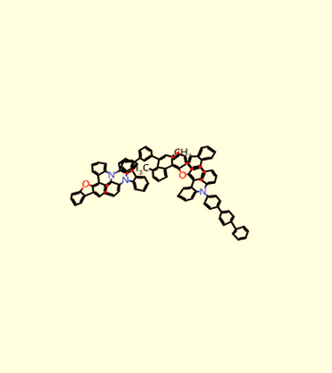 C=C/C=C(/c1cccc(-c2ccc(N(c3ccccc3-c3cccc4c3oc3ccccc34)c3ccccc3-n3c4ccccc4c4ccccc43)cc2)c1)c1c(C)cccc1-c1cccc2c1oc1c(-c3ccccc3N(c3ccc(-c4ccc(-c5ccccc5)cc4)cc3)c3cccc(-c4cccc5ccccc45)c3)cccc12